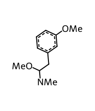 CNC(Cc1cccc(OC)c1)OC